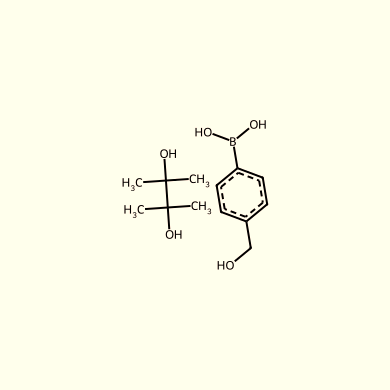 CC(C)(O)C(C)(C)O.OCc1ccc(B(O)O)cc1